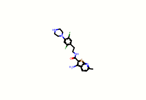 Cc1ccc2c(N)c(C(=O)NCCc3cc(F)c(N4CCNCC4)cc3F)sc2n1